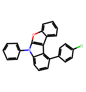 Clc1ccc(-c2cccc3c2c2c4ccccc4oc2n3-c2ccccc2)cc1